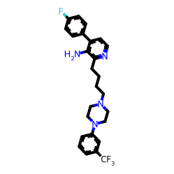 Nc1c(-c2ccc(F)cc2)ccnc1CCCCN1CCN(c2cccc(C(F)(F)F)c2)CC1